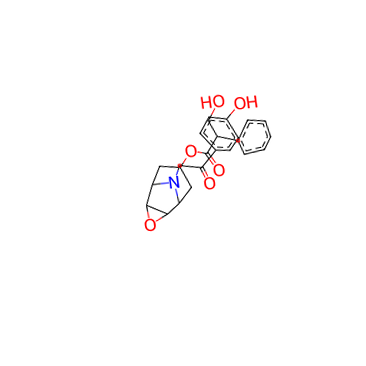 O=C(CN1C2CC(OC(=O)C(CO)c3ccccc3)CC1C1OC12)c1ccc(O)cc1